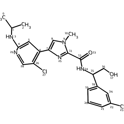 CC(C)Nc1cc(-c2cn(C)c(C(=O)NC(CO)c3cccc(Cl)c3)n2)c(Cl)cn1